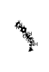 CC(C)(C(=O)Nc1ccc(-c2ncccn2)cc1)c1csc(NSC2CC2)n1